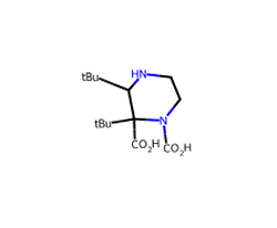 CC(C)(C)C1NCCN(C(=O)O)C1(C(=O)O)C(C)(C)C